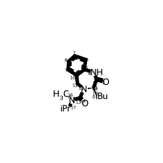 CC[C@H](C)[C@H]1C(=O)Nc2ccccc2CN1C(=O)N(C)C(C)C